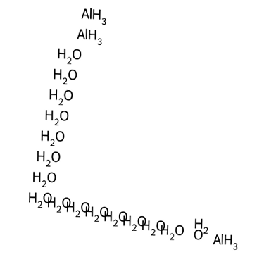 O.O.O.O.O.O.O.O.O.O.O.O.O.O.O.O.[AlH3].[AlH3].[AlH3]